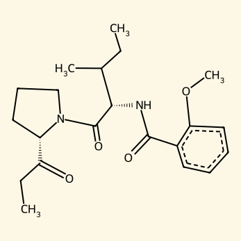 CCC(=O)[C@@H]1CCCN1C(=O)[C@@H](NC(=O)c1ccccc1OC)C(C)CC